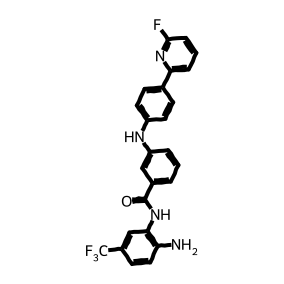 Nc1ccc(C(F)(F)F)cc1NC(=O)c1cccc(Nc2ccc(-c3cccc(F)n3)cc2)c1